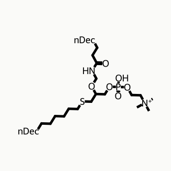 CCCCCCCCCCCCCCCCSCC(COP(=O)(O)OCC[N+](C)(C)C)OCNC(=O)CCCCCCCCCCCC